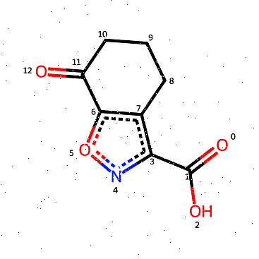 O=C(O)c1noc2c1CCCC2=O